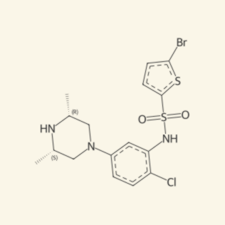 C[C@@H]1CN(c2ccc(Cl)c(NS(=O)(=O)c3ccc(Br)s3)c2)C[C@H](C)N1